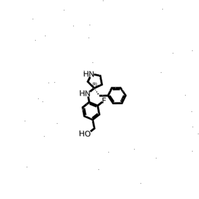 OCc1ccc(N[C@]2(Cc3ccccc3)CCNC2)c(F)c1